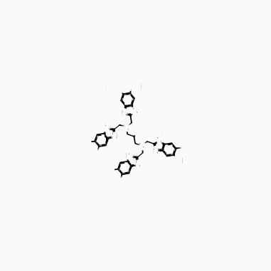 Cc1cc2nc(CN(Cc3nc4cc(C)c(C)cc4[nH]3)CC(O)CN(Cc3nc4cc(C)c(C)cc4[nH]3)Cc3nc4cc(C)c(C)cc4[nH]3)[nH]c2cc1C